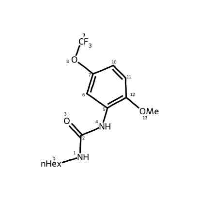 CCCCCCNC(=O)Nc1cc(OC(F)(F)F)ccc1OC